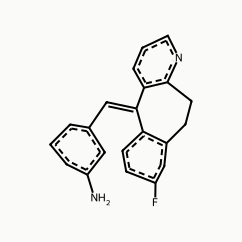 Nc1cccc(/C=C2\c3ccc(F)cc3CCc3ncccc32)c1